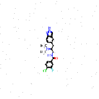 CN(C)C(CNC(=O)c1ccc(Cl)c(F)c1)Cc1ccc2n[nH]cc2c1